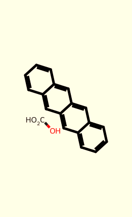 O=C(O)O.c1ccc2cc3cc4ccccc4cc3cc2c1